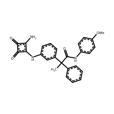 COc1ccc(NC(=O)C(C)(c2ccccc2)c2cccc(Nc3c(N)c(=O)c3=O)c2)cc1